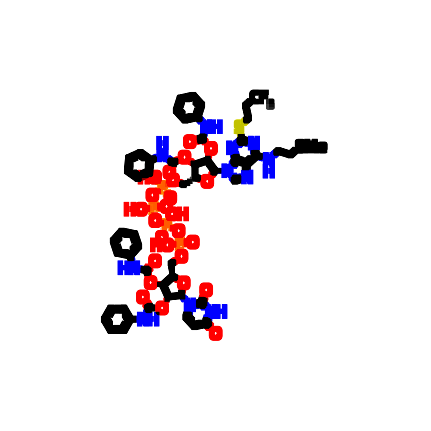 CSCCNc1nc(SCCC(F)(F)F)nc2c1ncn2[C@@H]1O[C@H](COP(=O)(O)OP(=O)(O)OP(=O)(O)OP(=O)(O)OC[C@H]2O[C@@H](n3ccc(=O)[nH]c3=O)[C@H](OC(=O)Nc3ccccc3)[C@@H]2OC(=O)Nc2ccccc2)[C@@H](OC(=O)Nc2ccccc2)[C@H]1OC(=O)Nc1ccccc1